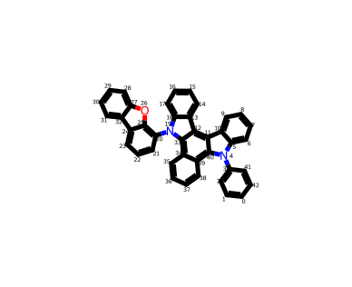 c1ccc(-n2c3ccccc3c3c4c5ccccc5n(-c5cccc6c5oc5ccccc56)c4c4ccccc4c32)cc1